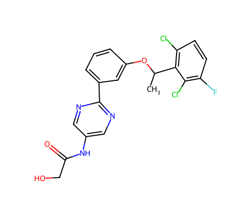 CC(Oc1cccc(-c2ncc(NC(=O)CO)cn2)c1)c1c(Cl)ccc(F)c1Cl